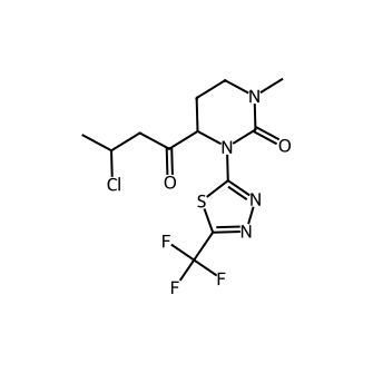 CC(Cl)CC(=O)C1CCN(C)C(=O)N1c1nnc(C(F)(F)F)s1